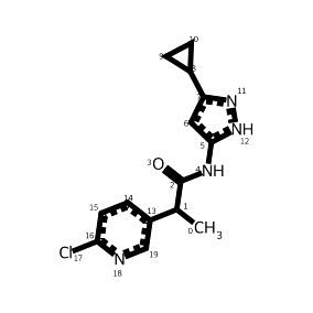 CC(C(=O)Nc1cc(C2CC2)n[nH]1)c1ccc(Cl)nc1